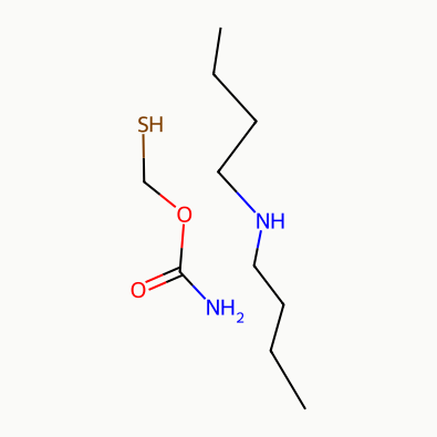 CCCCNCCCC.NC(=O)OCS